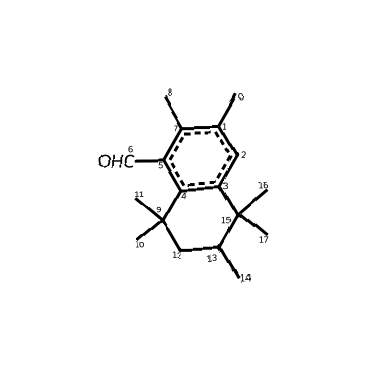 Cc1cc2c(c(C=O)c1C)C(C)(C)CC(C)C2(C)C